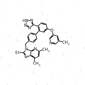 CCc1nc2c(C)cc(C)nc2n1Cc1ccc(-c2cc(Oc3cncc(C)c3)ccc2-c2nn[nH]n2)cc1